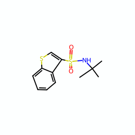 CC(C)(C)NS(=O)(=O)c1csc2ccccc12